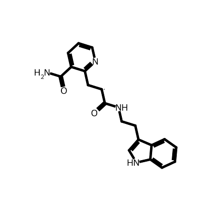 NC(=O)c1cccnc1C[CH]C(=O)NCCc1c[nH]c2ccccc12